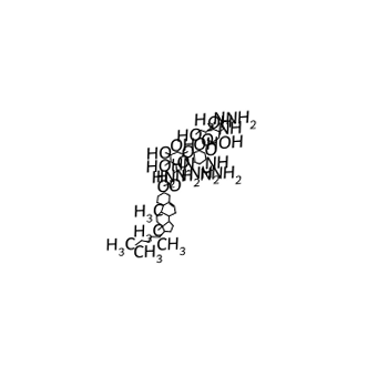 CC(C)CCCC(C)C1CCC2C3CC=C4CC(OC(=O)NCC5OC(OC6C(NC(N)N)CC(NC(N)N)C(OC7OC(CO)C(O)C(NC(N)N)C7O)C6O)C(O)C(O)C5O)CCC4(C)C3CCC12C